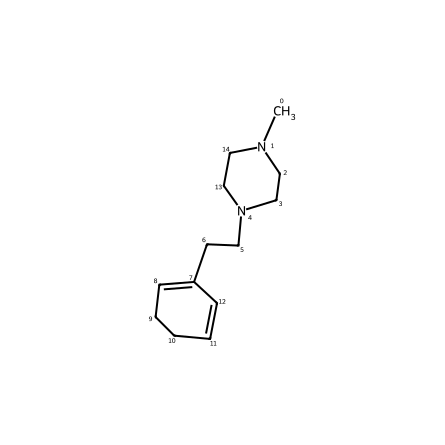 CN1CCN(CCC2=CCCC=C2)CC1